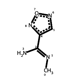 CN=C(N)c1cnon1